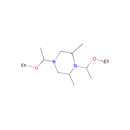 CCOC(C)N1CC(C)N(C(C)OCC)C(C)C1